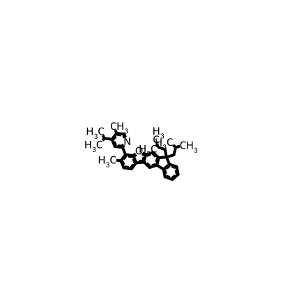 Cc1cnc(-c2c(C)ccc3c2oc2cc4c(cc23)-c2ccccc2C4(CC(C)C)CC(C)C)cc1C(C)C